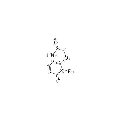 O=C1COc2c(c[c]c(F)c2F)N1